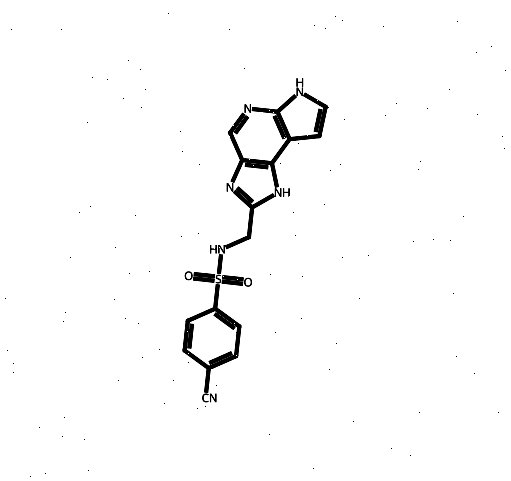 N#Cc1ccc(S(=O)(=O)NCc2nc3cnc4[nH]ccc4c3[nH]2)cc1